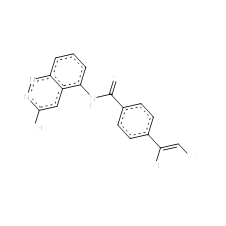 CC(=CC(F)(F)F)c1ccc(C(=O)Nc2cccc3nnc(C)cc23)cc1